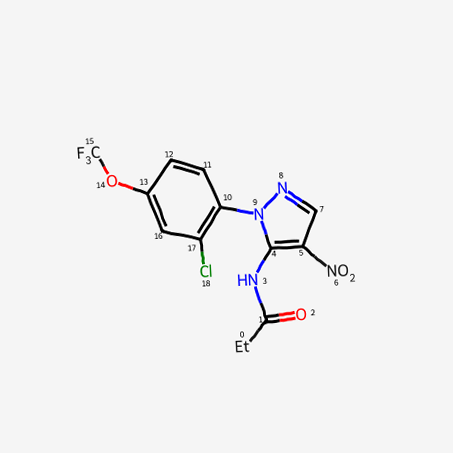 CCC(=O)Nc1c([N+](=O)[O-])cnn1-c1ccc(OC(F)(F)F)cc1Cl